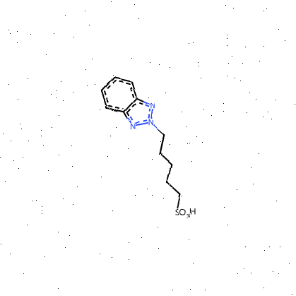 O=S(=O)(O)CCCCCn1nc2ccccc2n1